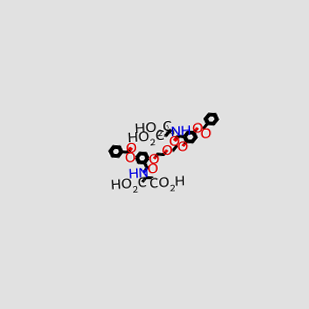 O=C(O)CC(NC(=O)c1cc(OC(=O)c2ccccc2)ccc1OCCOCCOc1ccc(OC(=O)c2ccccc2)cc1C(=O)N[C@H](CC(=O)O)C(=O)O)C(=O)O